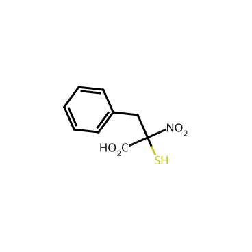 O=C(O)C(S)(Cc1ccccc1)[N+](=O)[O-]